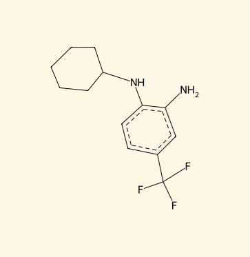 Nc1cc(C(F)(F)F)ccc1NC1CCCCC1